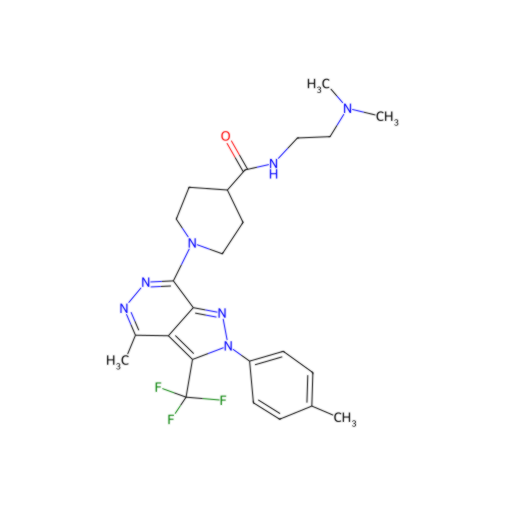 Cc1ccc(-n2nc3c(N4CCC(C(=O)NCCN(C)C)CC4)nnc(C)c3c2C(F)(F)F)cc1